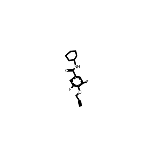 C#CCOc1c(F)cc(C(=O)NC2CCCCC2)cc1F